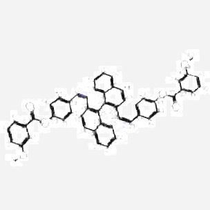 COc1cccc(C(=O)Oc2ccc(/C=C\c3ccc4ccccc4c3-c3c(/C=C\c4ccc(OC(=O)c5cccc(OC)c5)cc4)ccc4ccccc34)cc2)c1